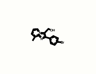 Cc1cccn2c(CO)c(-c3ccc(Br)cc3)nc12